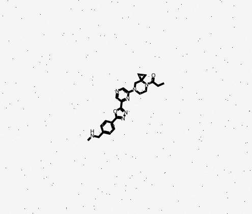 CCC(=O)N1CCN(c2cncc(-c3nnc(-c4ccc(CNC)cc4)o3)n2)CC12CC2